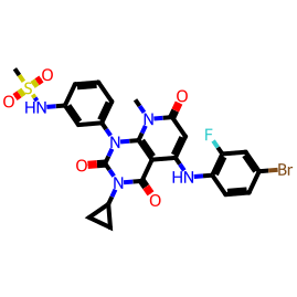 Cn1c(=O)cc(Nc2ccc(Br)cc2F)c2c(=O)n(C3CC3)c(=O)n(-c3cccc(NS(C)(=O)=O)c3)c21